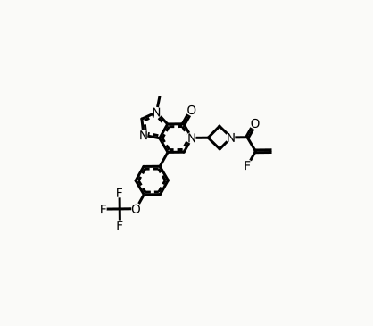 C=C(F)C(=O)N1CC(n2cc(-c3ccc(OC(F)(F)F)cc3)c3ncn(C)c3c2=O)C1